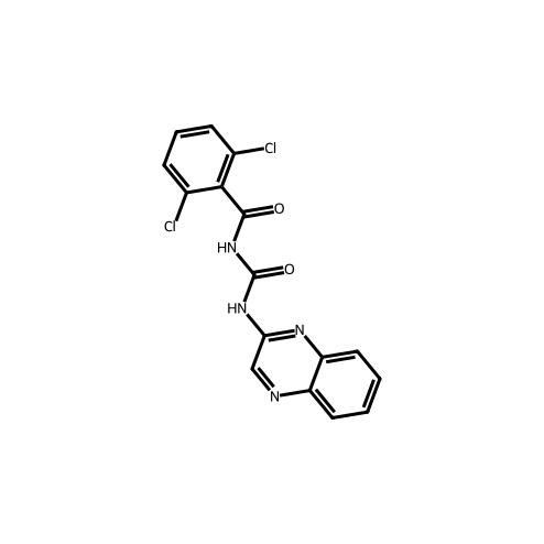 O=C(NC(=O)c1c(Cl)cccc1Cl)Nc1cnc2ccccc2n1